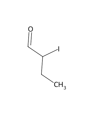 CCC(I)C=O